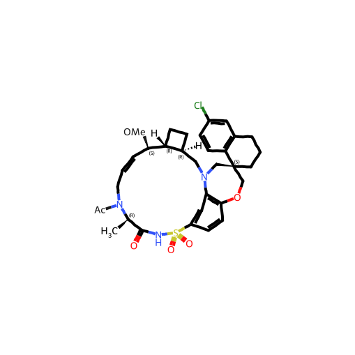 CO[C@@H]1C=CCN(C(C)=O)[C@H](C)C(=O)NS(=O)(=O)c2ccc3c(c2)N(C[C@@H]2CC[C@H]21)C[C@@]1(CCCc2cc(Cl)ccc21)CO3